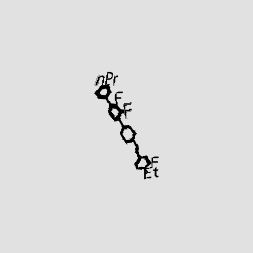 CCCc1ccc(-c2ccc(C3CCC(/C=C/C4=CC[C@H](CC)C(F)=C4)CC3)c(F)c2F)cc1